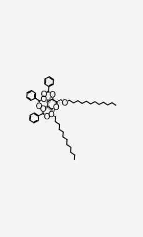 CCCCCCCCCCCCOC[C@H]1O[C@H](OCCCCCCCCCCCC)[C@H](OC(=O)c2ccccc2)[C@@H](OC(=O)c2ccccc2)[C@@H]1OC(=O)c1ccccc1